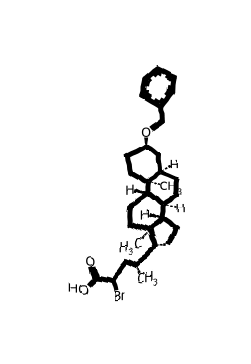 C[C@H](CC(Br)C(=O)O)[C@H]1CC[C@H]2[C@@H]3CC[C@@H]4C[C@H](OCc5ccccc5)CC[C@]4(C)[C@H]3CC[C@]12C